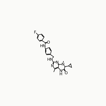 Cc1nc(NCc2ccc(NC(=O)c3ccc(F)cc3)cc2)nc2c1NC(=O)C(C1CC1)N2C